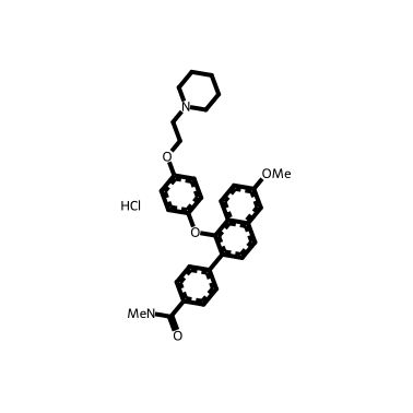 CNC(=O)c1ccc(-c2ccc3cc(OC)ccc3c2Oc2ccc(OCCN3CCCCC3)cc2)cc1.Cl